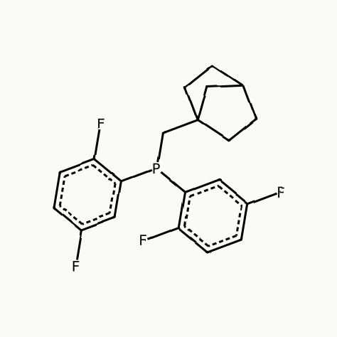 Fc1ccc(F)c(P(CC23CCC(CC2)C3)c2cc(F)ccc2F)c1